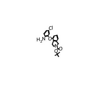 CC(C)(C)OC(=O)N1CCc2c(cccc2Oc2cc(Cl)ccc2N)C1